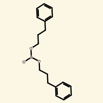 [O]B(OCCCc1ccccc1)OCCCc1ccccc1